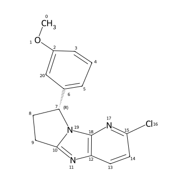 COc1cccc([C@H]2CCc3nc4ccc(Cl)nc4n32)c1